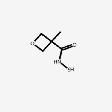 CC1(C(=O)NS)COC1